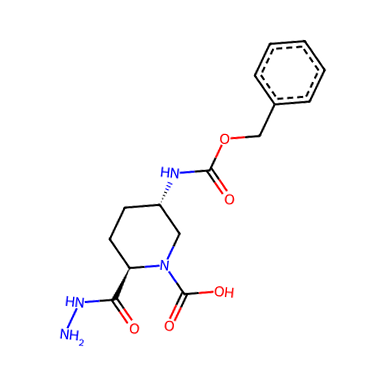 NNC(=O)[C@H]1CC[C@H](NC(=O)OCc2ccccc2)CN1C(=O)O